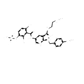 CCCS(=O)(=O)Nc1ccc(F)c(C(=O)Nc2cnc3c(c2)c(OCCOC)nn3Cc2ccc(OC)cc2)c1F